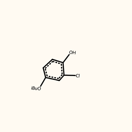 CC(C)COc1ccc(O)c(Cl)c1